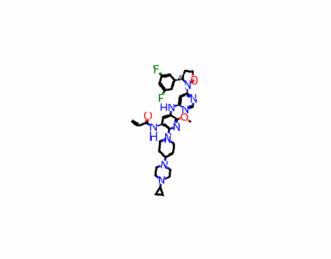 C=CC(=O)Nc1cc(Nc2cc(N3OCC[C@@H]3c3cc(F)cc(F)c3)ncn2)c(OC)nc1N1CCC(N2CCN(C3CC3)CC2)CC1